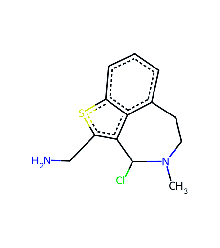 CN1CCc2cccc3sc(CN)c(c23)C1Cl